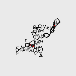 COC(=O)NC(C(=O)N[C@@H](Cc1ccc(-c2ccc(N3CC4CCC(C3)N4C3COC3)nc2)cc1)[C@@H](O)CN(Cc1c(F)cc(-c2ccn(C(F)F)n2)cc1F)NC(=O)[C@@H](NC(=O)OC1CC1)C(C)(C)C)C(C)(C)C(F)(F)F